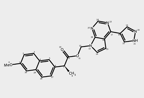 COc1ccc2cc([C@H](C)C(=O)OCn3ccc4c(-c5cn[nH]c5)ncnc43)ccc2c1